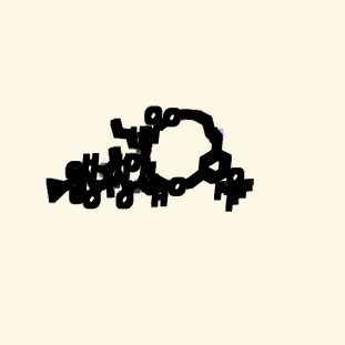 C=C[C@H](C)[C@](C)(NC(=O)[C@@H]1C[C@@H]2CN1C(=O)[C@H](CCCC)NC(=O)OCCC/C=C/c1cc(cc(OC(F)(F)F)c1)CO2)C(=O)NS(=O)(=O)C1CC1